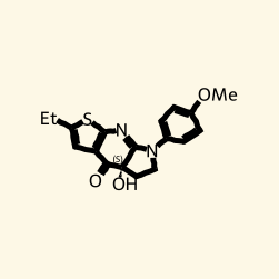 CCc1cc2c(s1)N=C1N(c3ccc(OC)cc3)CC[C@@]1(O)C2=O